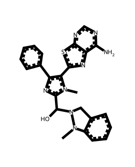 CN1c2ccccc2CN1C(O)c1nc(-c2ccccc2)c(-c2nc3c(N)ncnc3s2)n1C